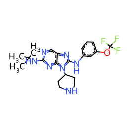 CC(C)(C)Nc1ncc2nc(Nc3cccc(OC(F)(F)F)c3)n(C3CCNCC3)c2n1